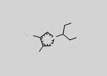 CCc1nn(C(CO)CO)cc1OC